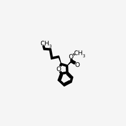 CCCCC[C@@H]1Oc2ccccc2[C@@H]1C(=O)OC